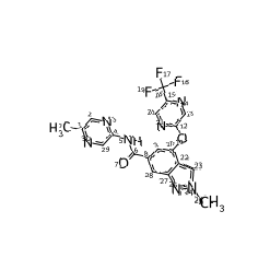 Cc1cnc(NC(=O)c2cc(Oc3cnc(C(F)(F)F)cn3)c3cn(C)nc3c2)cn1